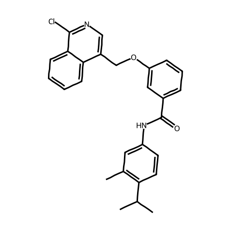 Cc1cc(NC(=O)c2cccc(OCc3cnc(Cl)c4ccccc34)c2)ccc1C(C)C